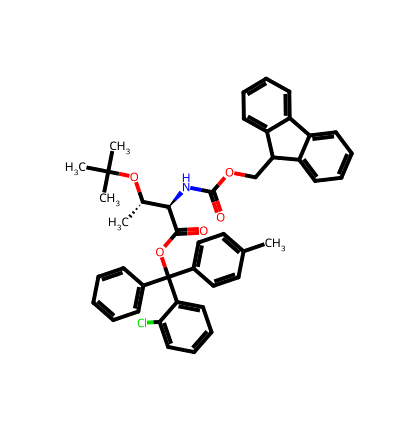 Cc1ccc(C(OC(=O)[C@H](NC(=O)OCC2c3ccccc3-c3ccccc32)[C@H](C)OC(C)(C)C)(c2ccccc2)c2ccccc2Cl)cc1